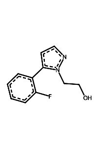 OCCn1nccc1-c1ccccc1F